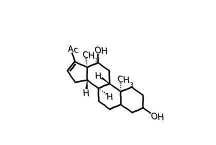 CC(=O)C1=CC[C@H]2[C@@H]3CCC4CC(O)CC[C@]4(C)[C@H]3CC(O)[C@]12C